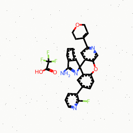 NC1=NC2(c3cc(-c4cccnc4F)ccc3Oc3cnc(C4=CCOCC4)cc32)c2ccccc21.O=C(O)C(F)(F)F